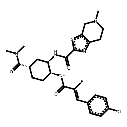 CN1CCc2nc(C(=O)N[C@@H]3C[C@@H](C(=O)N(C)C)CC[C@@H]3NC(=O)C(F)=Cc3ccc(Cl)cc3)sc2C1